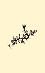 Cc1nc(C(C)(C)NC(=O)c2ccc(N3CC(=O)C3)c(OCC3CC3)n2)no1